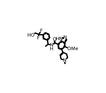 COc1c(C2=CCN(C)CC2)cc(C(=O)NC(C)c2cccc(C(F)(F)CO)c2)c2[nH]ncc12